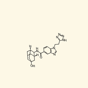 O=C(NC1[C@H]2CC3C[C@H]1CC(O)(C3)C2)c1ccc2c(c1)ncn2CCc1nnn[nH]1